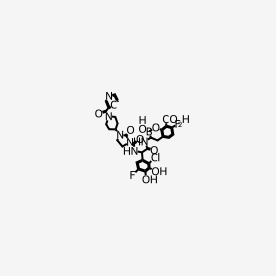 O=C(O)c1c(F)ccc2c1OB(O)C(NC(=O)C(NC(=O)N1CCN(C3CCN(C(=O)c4cccnc4)CC3)C1=O)c1cc(F)c(O)c(O)c1Cl)C2